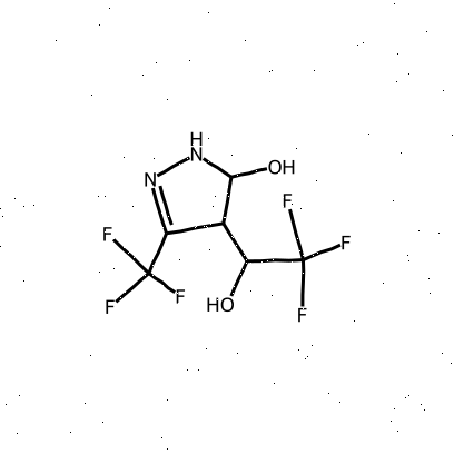 OC1NN=C(C(F)(F)F)C1C(O)C(F)(F)F